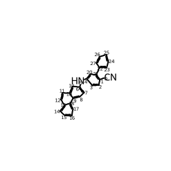 N#Cc1ccc(Nc2ccc3c(ccc4ccccc43)c2)cc1-c1ccccc1